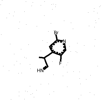 CC(C=N)c1cc(Br)ncc1F